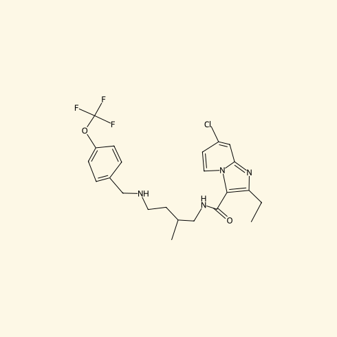 CCc1nc2cc(Cl)ccn2c1C(=O)NCC(C)CCNCc1ccc(OC(F)(F)F)cc1